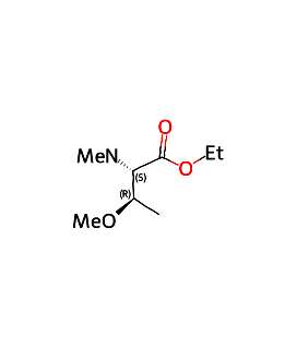 CCOC(=O)[C@@H](NC)[C@@H](C)OC